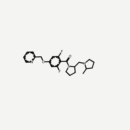 CC1CCCN1CC1CCCN1C(=O)c1c(F)cc(OCc2ccccn2)cc1F